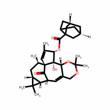 CC1=C[C@]23C(=O)[C@@H](C=C4COC(C)(C)O[C@H]4[C@]2(O)[C@H]1OC(=O)C12C[C@@H]4CC1C[C@@H](C4)C2)[C@H]1[C@@H](C[C@H]3C)C1(C)C